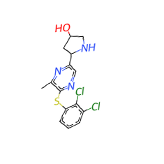 Cc1nc(C2CC(O)CN2)cnc1Sc1cccc(Cl)c1Cl